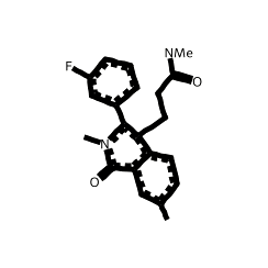 CNC(=O)CCc1c(-c2cccc(F)c2)n(C)c(=O)c2cc(C)ccc12